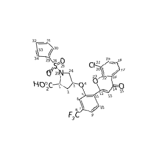 O=C(O)C1CC(Oc2cc(C(F)(F)F)ccc2-c2cc(=O)c3cccc(Cl)c3o2)CN1S(=O)(=O)c1ccccc1